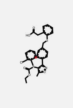 CCOC(=O)N(c1ccccc1Cl)c1c(-c2ccc(CSc3ccccc3CC(=O)O)cc2)noc1C